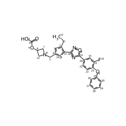 CCc1cc(CN2CC(OC(=O)O)C2)sc1-c1noc(-c2ccc(Oc3ccccc3)c(F)c2)n1